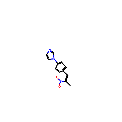 CC(=Cc1ccc(-n2ccnc2)cc1)[N+](=O)[O-]